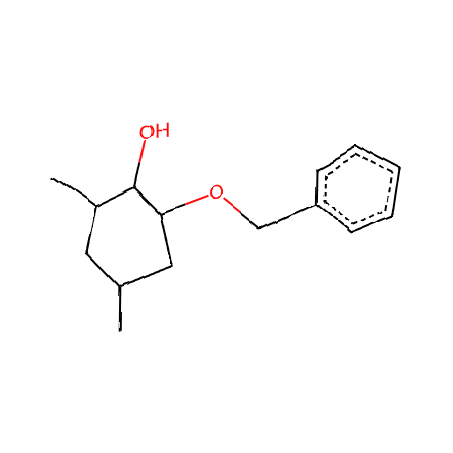 CC1CC(C)C(O)C(OCc2ccccc2)C1